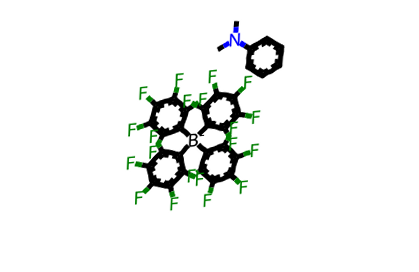 CN(C)c1ccccc1.Fc1c(F)c(F)c([B-](c2c(F)c(F)c(F)c(F)c2F)(c2c(F)c(F)c(F)c(F)c2F)c2c(F)c(F)c(F)c(F)c2F)c(F)c1F